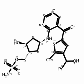 CC(C)C(O)c1cc(C(=O)c2cncnc2N[C@@H]2C[C@H](COS(N)(=O)=O)[C@@H](O)C2)sc1Cl